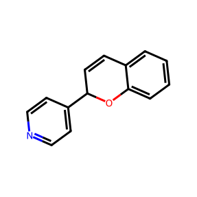 C1=CC(c2ccncc2)Oc2ccccc21